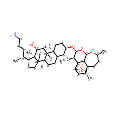 C[C@H]1[C@@H](O[C@@H]2CC[C@@]3(C)[C@H](CC[C@@H]4[C@@H]3C[C@H](O)[C@]3(C)[C@@H]([C@H](C)CCCN)CC[C@@H]43)C2)OC2O[C@@H](C)CC[C@H]3[C@H](C)CC[C@@H]1[C@@]23OO